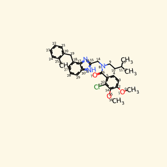 COc1ccc(C(=O)N(CCC(C)C)Cc2nc3c(Cc4ccccc4C)cccc3[nH]2)c(Cl)c1OC